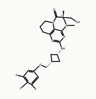 CN1c2nc(N[C@H]3C[C@@H](COc4cc(F)c(F)c(F)c4)C3)nc3c2N(CCC3)C(=O)[C@]1(C)CO